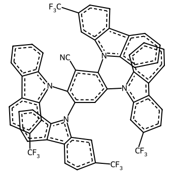 N#Cc1c(-n2c3ccccc3c3ccc(C(F)(F)F)cc32)c(-n2c3ccccc3c3ccc(C(F)(F)F)cc32)cc(-n2c3ccccc3c3ccc(C(F)(F)F)cc32)c1-n1c2ccccc2c2ccc(C(F)(F)F)cc21